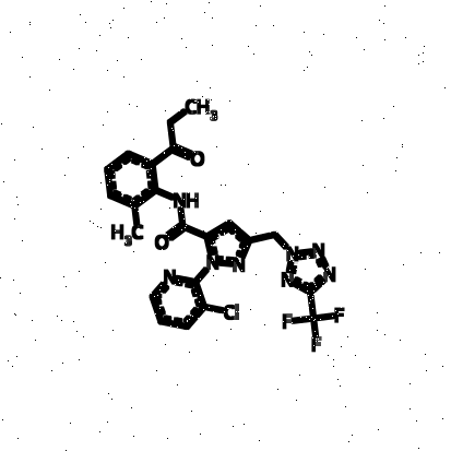 CCC(=O)c1cccc(C)c1NC(=O)c1cc(Cn2nnc(C(F)(F)F)n2)nn1-c1ncccc1Cl